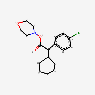 O=C(ON1CCOCC1)C(c1ccc(Br)cc1)C1CCCCC1